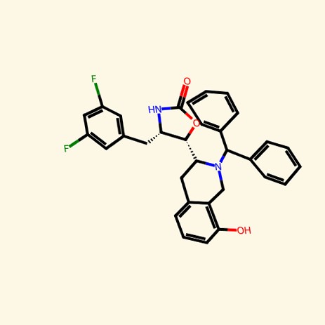 O=C1N[C@@H](Cc2cc(F)cc(F)c2)[C@@H](C2Cc3cccc(O)c3CN2C(c2ccccc2)c2ccccc2)O1